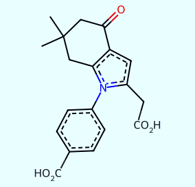 CC1(C)CC(=O)c2cc(CC(=O)O)n(-c3ccc(C(=O)O)cc3)c2C1